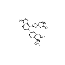 CNc1ccc(-c2cnc3[nH]ccc3c2N2CC3(CNC(=O)C3)C2)cc1C=N